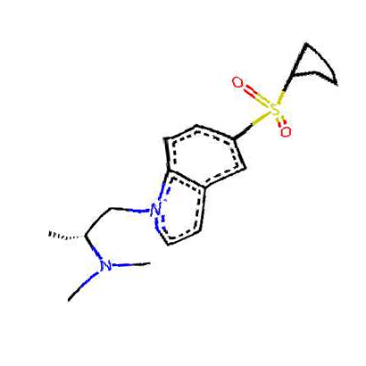 C[C@H](Cn1ccc2cc(S(=O)(=O)C3CC3)ccc21)N(C)C